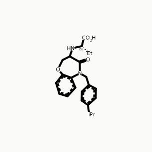 CC[C@H](NC1COc2ccccc2N(Cc2ccc(C(C)C)cc2)C1=O)C(=O)O